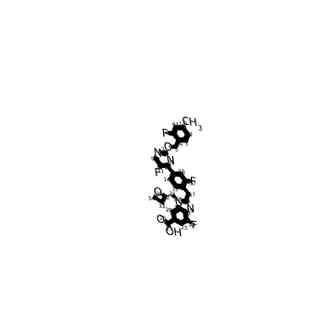 Cc1ccc(COc2ncc(F)c(-c3ccc(Cc4nc5c(F)cc(C(=O)O)cc5n4C[C@@H]4CCO4)c(F)c3)n2)c(F)c1